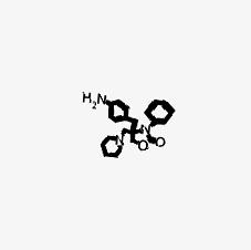 Nc1ccc(CC2(CN3CCCCC3)COC(=O)N2c2ccccc2)cc1